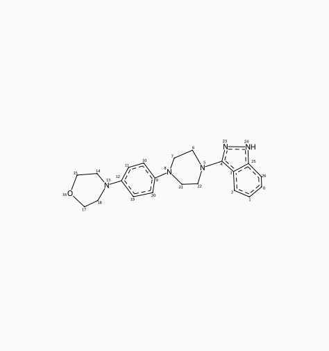 c1ccc2c(N3CCN(c4ccc(N5CCOCC5)cc4)CC3)n[nH]c2c1